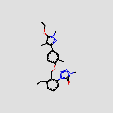 CCOc1c(C)c(-c2ccc(OCc3c(CC)cccc3-n3nnn(C)c3=O)c(C)c2)nn1C